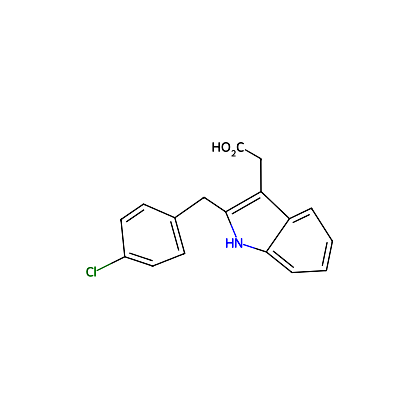 O=C(O)Cc1c(Cc2ccc(Cl)cc2)[nH]c2ccccc12